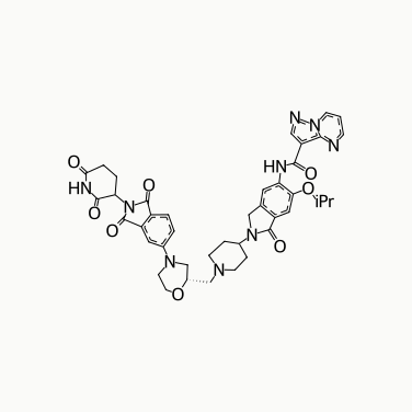 CC(C)Oc1cc2c(cc1NC(=O)c1cnn3cccnc13)CN(C1CCN(C[C@H]3CN(c4ccc5c(c4)C(=O)N(C4CCC(=O)NC4=O)C5=O)CCO3)CC1)C2=O